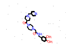 O=C(CN1CCCN(C(=O)C2CCN(Cc3ccncc3)CC2)CC1)NCc1ccc(O)c(O)c1